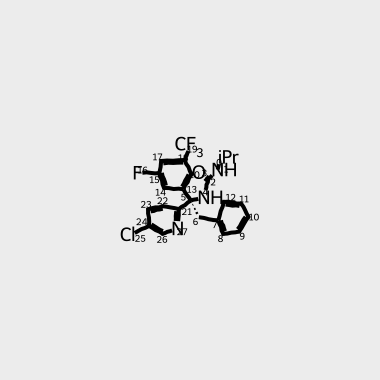 CC(C)NC(=O)N[C@](Cc1ccccc1)(c1cc(F)cc(C(F)(F)F)c1)c1ccc(Cl)cn1